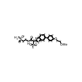 COCCOc1ccc(-c2ccc3nc(C(C(=O)NCCS(N)(=O)=O)S(C)(=O)=O)sc3c2)cc1